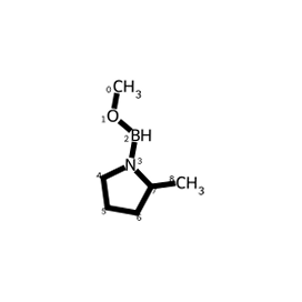 COBN1CCCC1C